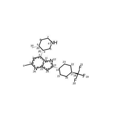 Cc1cc([C@H]2CNCC[C@H]2C)n2nc([C@H]3CC[C@H](C(F)(F)F)CC3)cc2n1